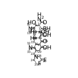 B=C1C(C(N)=O)=C(O)[C@@H](N(C)C)[C@@H]2C[C@@H]3Cc4c(c(O)cc(CN(CC)CC(F)F)c4N(C)C)C(=O)C3=C(O)[C@]12O